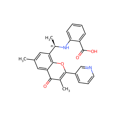 Cc1cc([C@@H](C)Nc2ccccc2C(=O)O)c2oc(-c3cccnc3)c(C)c(=O)c2c1